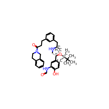 C[C@H](Cc1cccc(CCC(=O)N2CCc3ccccc3C2)c1)NC[C@H](O[Si](C)(C)C(C)(C)C)c1ccc(O)c(NC=O)c1